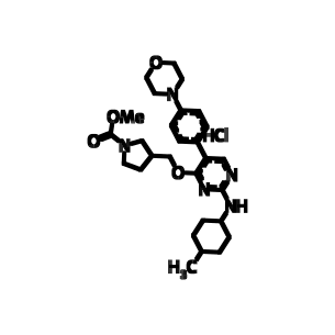 COC(=O)N1CCC(COc2nc(NC3CCC(C)CC3)ncc2-c2ccc(N3CCOCC3)cc2)C1.Cl